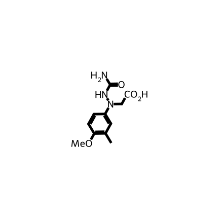 COc1ccc(N(CC(=O)O)NC(N)=O)cc1C